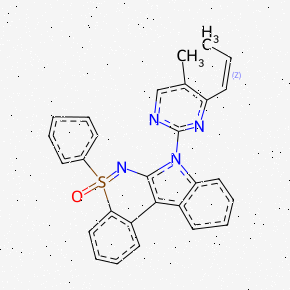 C/C=C\c1nc(-n2c3c(c4ccccc42)-c2ccccc2S(=O)(c2ccccc2)=N3)ncc1C